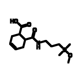 CO[Si](C)(C)CCCNC(=O)C1CC=CCC1C(=O)O